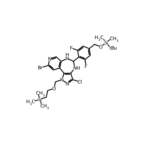 CC(C)(C)[Si](C)(C)OCc1cc(F)c(C2Nc3cnc(Br)cc3-c3c(c(Cl)nn3COCC[Si](C)(C)C)N2)c(F)c1